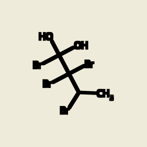 CC(Br)C(Br)(Br)C(O)(O)Br